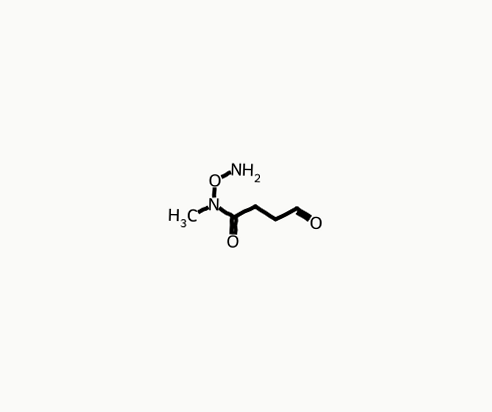 CN(ON)C(=O)CCC=O